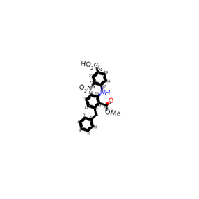 COC(=O)c1c(Cc2ccccc2)cccc1Nc1ccc(C(=O)O)cc1[N+](=O)[O-]